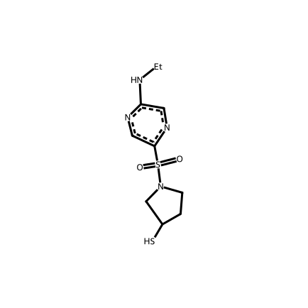 CCNc1cnc(S(=O)(=O)N2CCC(S)C2)cn1